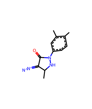 Cc1ccc(N2NC(C)C(=[N+]=[N-])C2=O)cc1C